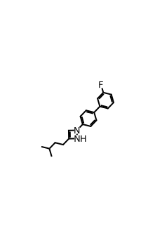 CC(C)CCc1cn(-c2ccc(-c3cccc(F)c3)cc2)[nH]1